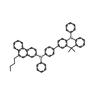 CCCCc1cc2cc(N(c3ccccc3)c3ccc(-c4ccc5c(c4)C(C)(C)c4ccccc4N5c4ccccc4)cc3)ccc2c2ccccc12